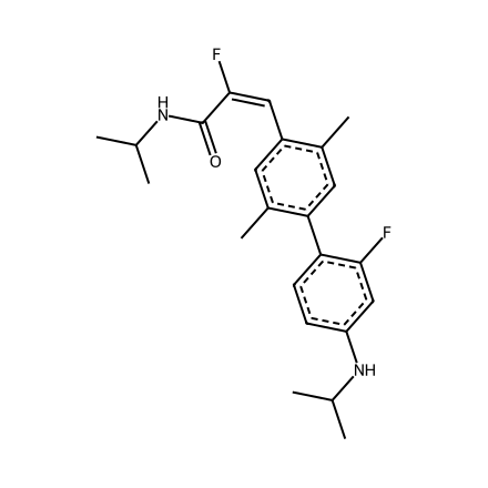 Cc1cc(-c2ccc(NC(C)C)cc2F)c(C)cc1/C=C(/F)C(=O)NC(C)C